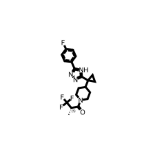 C[C@@H](C(=O)N1CCC(C2(c3nnc(-c4ccc(F)cc4)[nH]3)CC2)CC1)C(F)(F)F